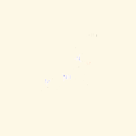 CC(C)COc1ccc(N(CCCC2CC3=NC4=CC=CCC4=C3CN2)C(=O)c2ccc3c(c2)CCCC3)cc1